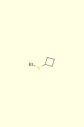 C[CH]SC1CCC1